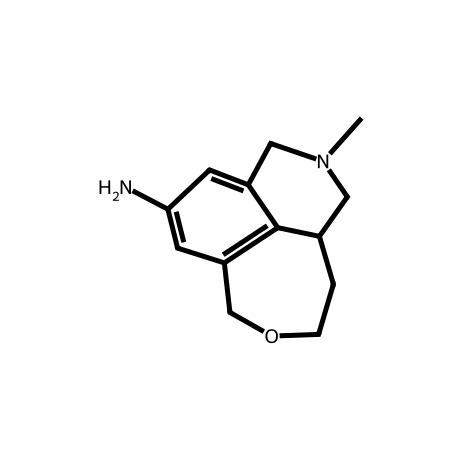 CN1Cc2cc(N)cc3c2C(CCOC3)C1